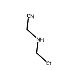 CCCNCC#N